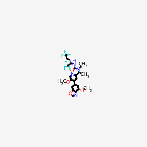 CCN(C(=O)N[C@@H](CCC(F)(F)F)C(F)(F)F)[C@H](C)c1cc(-c2cc(OC)c3ncoc3c2)c(OC)cn1